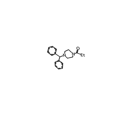 CCC(=O)N1CCN(C(c2ccccc2)c2ccccc2)CC1